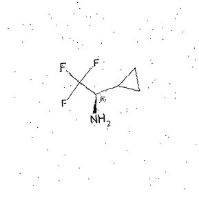 N[C@H](C1CC1)C(F)(F)F